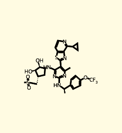 Cc1nc(N[C@H](C)c2ccc(OC(F)(F)F)cc2)nc(N[C@@H]2C[C@H](CS(C)(=O)=O)[C@@H](O)[C@H]2O)c1-c1nc2c(C3CC3)nccc2s1